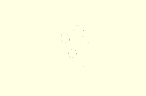 OC[C@H]1OC(c2ccc(Cl)c(Cc3ccc(OCC4(C(F)(F)F)CCC4)cc3)c2)[C@H](O)[C@@H](O)[C@@H]1O